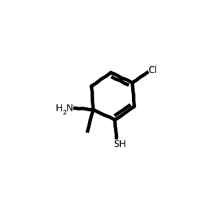 CC1(N)CC=C(Cl)C=C1S